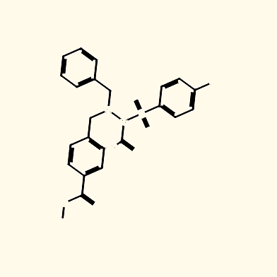 COC(=O)c1ccc(CN(Cc2ccccc2)N(C(N)=O)S(=O)(=O)c2ccc(Cl)cc2)cc1